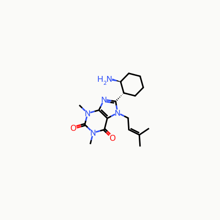 CC(C)=CCn1c([C@H]2CCCC[C@@H]2N)nc2c1c(=O)n(C)c(=O)n2C